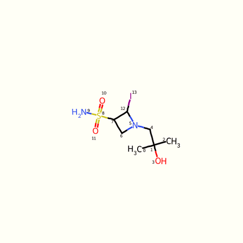 CC(C)(O)CN1CC(S(N)(=O)=O)C1I